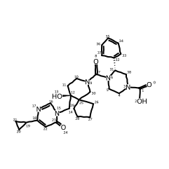 O=C(O)N1CCN(C(=O)N2CC[C@@](O)(Cn3cnc(C4CC4)cc3=O)C3(CCCC3)C2)[C@H](c2ccccc2)C1